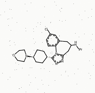 CC(C)NC1Cc2cc(Cl)ccc2-n2c(nnc2[C@H]2CC[C@H](N3CCOCC3)CC2)C1